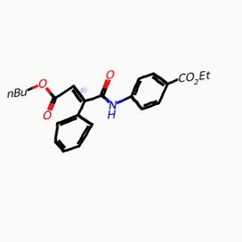 CCCCOC(=O)/C=C(/C(=O)Nc1ccc(C(=O)OCC)cc1)c1ccccc1